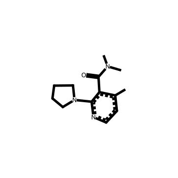 Cc1ccnc(N2CCCC2)c1C(=O)N(C)C